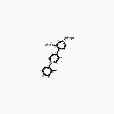 CCCCCCC[n+]1ccc(-c2cc[n+](-c3ccccc3C)cc2)c(OC)c1